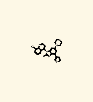 Cc1nc2c(-c3ccoc3)cc(N3CCOCC3)cc2n1-c1ccnc2c(Cl)cccc12